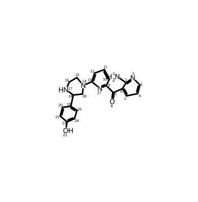 Nc1ncccc1C(=O)c1cccc(N2CCNC(c3ccc(O)cc3)C2)n1